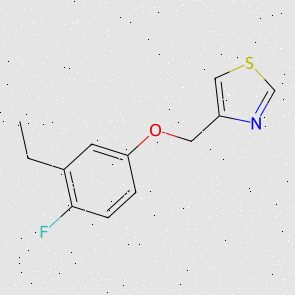 CCc1cc(OCc2cscn2)ccc1F